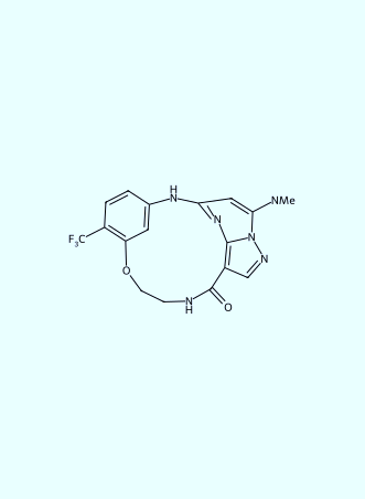 CNc1cc2nc3c(cnn13)C(=O)NCCOc1cc(ccc1C(F)(F)F)N2